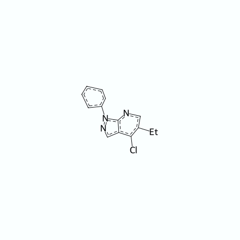 CCc1cnc2c(cnn2-c2ccccc2)c1Cl